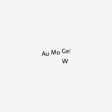 [Au].[Ge].[Mo].[W]